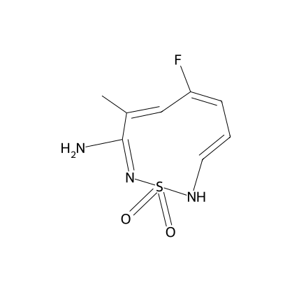 CC1=C\C(F)=C/C=C/NS(=O)(=O)/N=C\1N